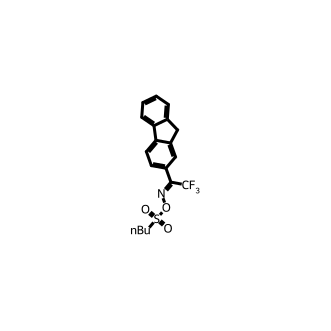 CCCCS(=O)(=O)O/N=C(/c1ccc2c(c1)Cc1ccccc1-2)C(F)(F)F